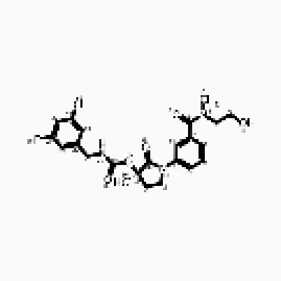 CN(CCO)C(=O)c1cccc(N2CC[C@@](O)(OC(=O)NCc3cc(F)cc(Cl)c3)C2=O)c1